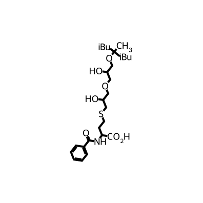 CCC(C)C(C)(OCC(O)COCC(O)CSCCC(NC(=O)c1ccccc1)C(=O)O)C(C)CC